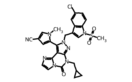 Cn1cc(C#N)cc1-c1c2c(nn1Cc1cn(S(C)(=O)=O)c3ccc(Cl)cc13)n(CC1CC1)c(=O)n1ccnc21